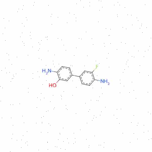 Nc1ccc(-c2ccc(N)c(F)c2)cc1O